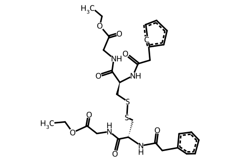 CCOC(=O)CNC(=O)[C@H](CSSC[C@H](NC(=O)Cc1ccccc1)C(=O)NCC(=O)OCC)NC(=O)Cc1ccccc1